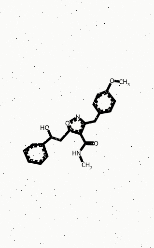 CNC(=O)c1c(Cc2ccc(OC)cc2)noc1CC(O)c1ccccc1